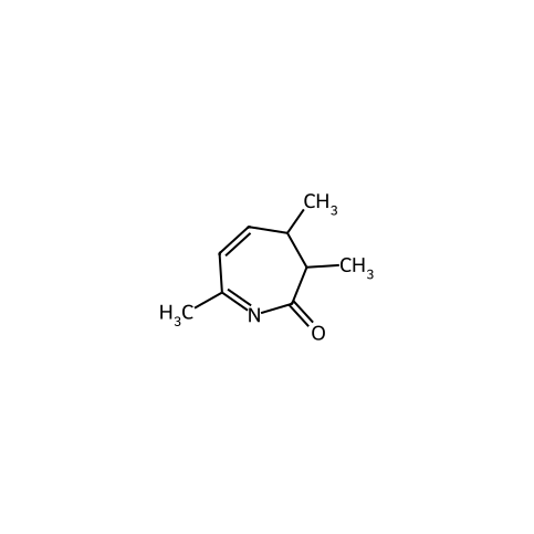 CC1=NC(=O)C(C)C(C)C=C1